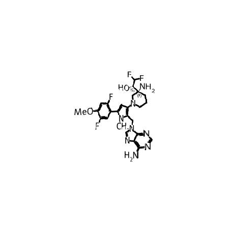 COc1cc(F)c(-c2cc(N3CCC[C@](N)([C@H](O)C(F)F)C3)c(Cn3cnc4c(N)ncnc43)n2C)cc1F